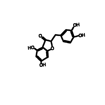 O=C1c2c(O)cc(O)cc2OC1Cc1ccc(O)c(O)c1